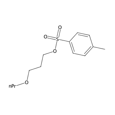 CCCOCCCOS(=O)(=O)c1ccc(C)cc1